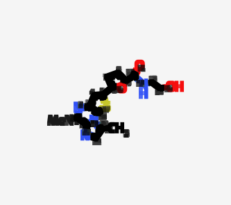 CNc1nc2cc(-c3ccc(C(=O)NCCO)o3)sc2n2c(C)cnc12